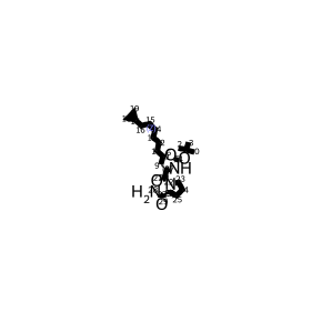 CC(C)(C)OC(=O)N[C@@H](CCCCC/C=C\CC1CC1)C(=O)N1CCC[C@H]1C(N)=O